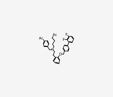 CC(=O)CCCCN(CCc1ccccc1OCc1ccc(-c2cccc(F)c2F)cc1)Cc1ccc(C(C)=O)cc1